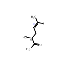 CC(=O)[C@@H](O)C/C=C(/C)I